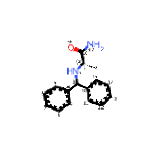 C[C@H](NC(c1ccccc1)c1ccccc1)C(N)=O